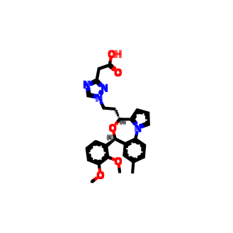 COc1cccc([C@H]2O[C@H](CCn3cnc(CC(=O)O)n3)c3cccn3-c3ccc(C)cc32)c1OC